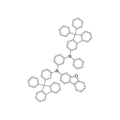 c1ccc(N(c2cccc(N(c3cccc(C4(c5ccccc5)c5ccccc5-c5ccccc54)c3)c3ccc4c(c3)oc3ccccc34)c2)c2ccc3c(c2)-c2ccccc2C3(c2ccccc2)c2ccccc2)cc1